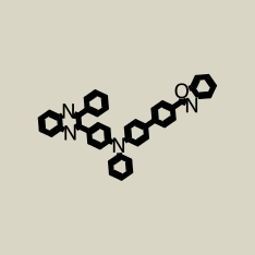 c1ccc(-c2nc3ccccc3nc2-c2ccc(N(c3ccccc3)c3ccc(-c4ccc(-c5nc6ccccc6o5)cc4)cc3)cc2)cc1